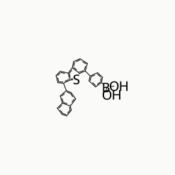 OB(O)c1ccc(-c2cccc3c2sc2c(-c4ccc5ccccc5c4)cccc23)cc1